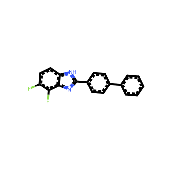 Fc1ccc2[nH]c(-c3ccc(-c4ccccc4)cc3)nc2c1F